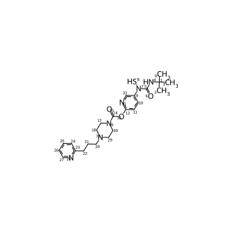 CC(C)(C)NC(=O)N(S)c1ccc(OC(=O)N2CCN(CCCc3ccccn3)CC2)nc1